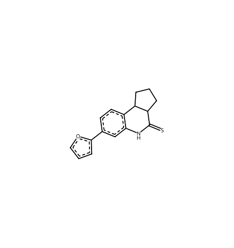 S=C1Nc2cc(-c3ccco3)ccc2C2CCCC12